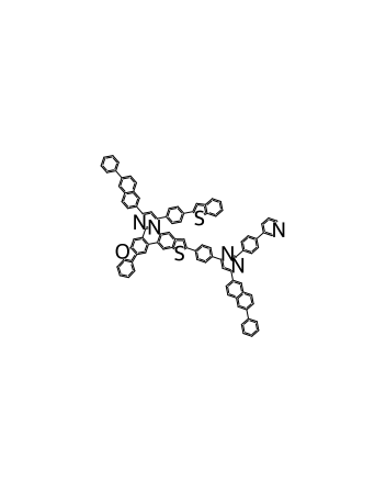 c1ccc(-c2ccc3cc(-c4cc(-c5ccc(-c6cc7ccc(-c8cc9c(cc8-c8nc(-c%10ccc(-c%11cc%12ccccc%12s%11)cc%10)cc(-c%10ccc%11cc(-c%12ccccc%12)ccc%11c%10)n8)oc8ccccc89)cc7s6)cc5)nc(-c5ccc(-c6cccnc6)cc5)n4)ccc3c2)cc1